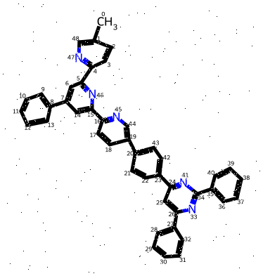 Cc1ccc(-c2cc(-c3ccccc3)cc(-c3ccc(-c4ccc(-c5cc(-c6ccccc6)nc(-c6ccccc6)n5)cc4)cn3)n2)nc1